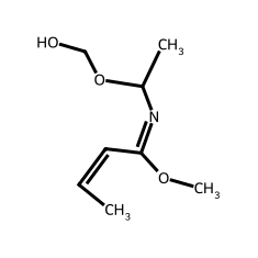 C/C=C\C(=N/C(C)OCO)OC